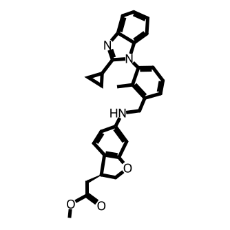 COC(=O)C[C@@H]1COc2cc(NCc3cccc(-n4c(C5CC5)nc5ccccc54)c3C)ccc21